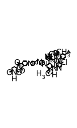 COc1cc(N2CCN(C[C@H]3CCN(c4ccc5c(c4)C(=O)N(C4CCC(=O)NC4=O)C5=O)C3)CC2)c(-c2cnn(C)c2)cc1Nc1ncc(Cl)c(Nc2ccc(C3CC3)cc2P(C)(C)=O)n1